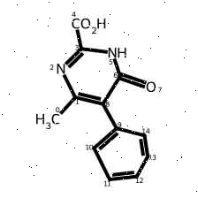 Cc1nc(C(=O)O)[nH]c(=O)c1-c1ccccc1